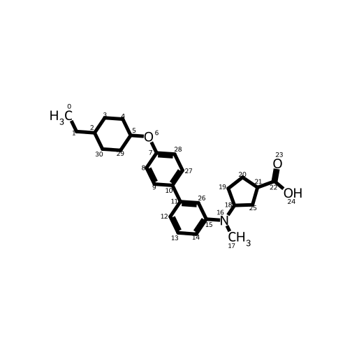 CCC1CCC(Oc2ccc(-c3cccc(N(C)C4CCC(C(=O)O)C4)c3)cc2)CC1